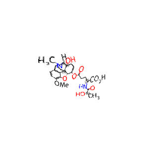 COc1ccc2c3c1OC1C(OC(=O)CC[C@H](NC(=O)[C@H](C)O)C(=O)O)=CC[C@@]4(O)[C@@H](C2)N(C)CC[C@]314